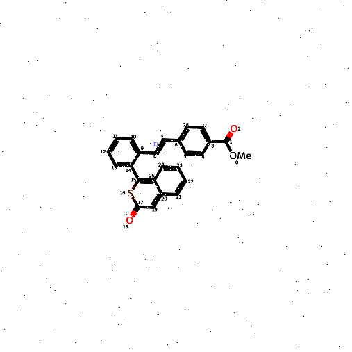 COC(=O)c1ccc(/C=C/c2ccccc2-c2sc(=O)cc3ccccc23)cc1